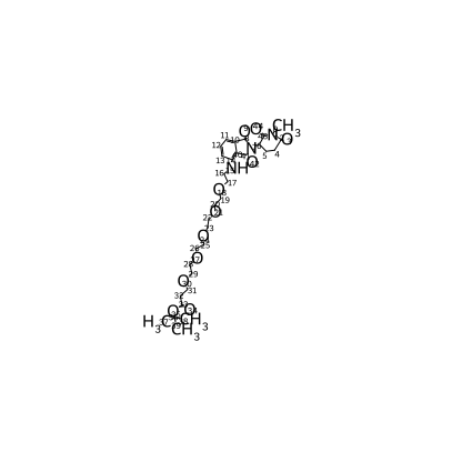 CN1C(=O)CCC(N2C(=O)c3cccc(NCCOCCOCCOCCOCCOCCC(=O)OC(C)(C)C)c3C2=O)C1=O